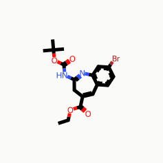 CCOC(=O)C1=Cc2ccc(Br)cc2N=C(NC(=O)OC(C)(C)C)C1